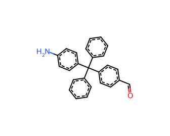 Nc1ccc(C(c2ccccc2)(c2ccccc2)c2ccc(C=O)cc2)cc1